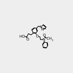 CC(=O)N(CCOc1cc(Cn2cccn2)ccc1CCC(=O)O)c1ccccc1